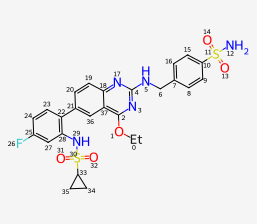 CCOc1nc(NCc2ccc(S(N)(=O)=O)cc2)nc2ccc(-c3ccc(F)cc3NS(=O)(=O)C3CC3)cc12